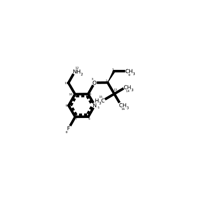 C[CH][C@H](Oc1ncc(F)cc1CN)C(C)(C)C